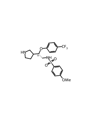 COc1ccc(S(=O)(=O)NC[C@@H](Oc2ccc(C(F)(F)F)cc2)C2CCNC2)cc1